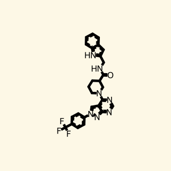 O=C(NCc1cc2ccccc2[nH]1)C1CCCN(c2ncnc3nn(-c4ccc(C(F)(F)F)cc4)cc23)C1